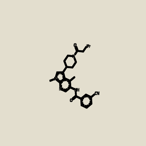 Cc1c(NC(=O)c2cccc(C#N)c2)cnc2c1c(C1CCN(C(=O)CC(C)C)CC1)cn2C